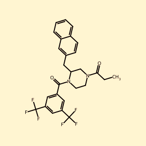 CCC(=O)N1CCN(C(=O)c2cc(C(F)(F)F)cc(C(F)(F)F)c2)C(Cc2ccc3ccccc3c2)C1